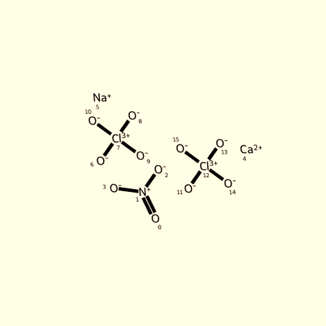 O=[N+]([O-])[O-].[Ca+2].[Na+].[O-][Cl+3]([O-])([O-])[O-].[O-][Cl+3]([O-])([O-])[O-]